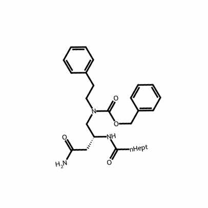 CCCCCCCC(=O)N[C@H](CC(N)=O)CN(CCc1ccccc1)C(=O)OCc1ccccc1